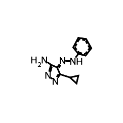 NC1=NN=C(C2CC2)/C1=N\Nc1ccccc1